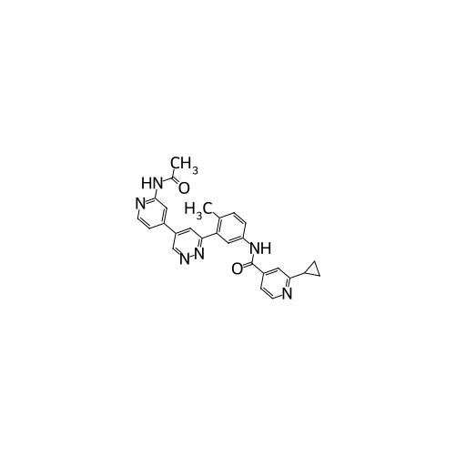 CC(=O)Nc1cc(-c2cnnc(-c3cc(NC(=O)c4ccnc(C5CC5)c4)ccc3C)c2)ccn1